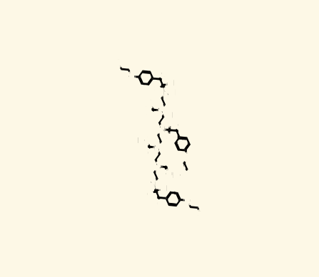 CC(=O)N(CCNC(C)(C)C(=O)c1ccc(OCCO)cc1)CCN(CCN(CCN(CCNC(C)(C)C(=O)c1ccc(OCCO)cc1)C(C)=O)C(C)(C)C(=O)c1ccc(OCCO)cc1)C(C)=O